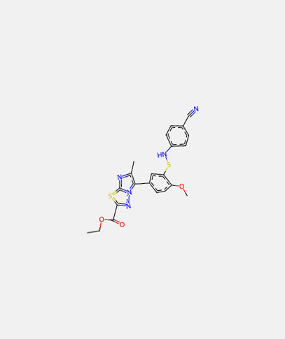 CCOC(=O)c1nn2c(-c3ccc(OC)c(SNc4ccc(C#N)cc4)c3)c(C)nc2s1